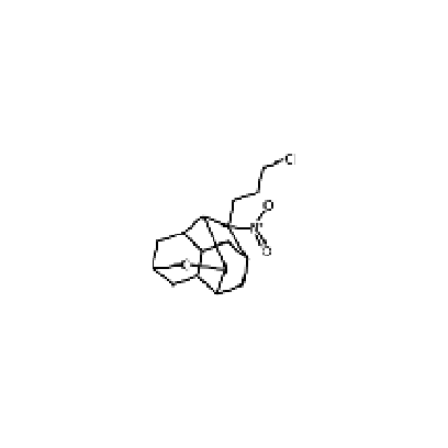 O=[N+]([O-])C1(CCCCl)C2CC3C4CC5CC3C1C(C5)C4C2